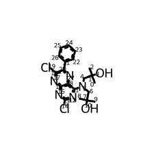 CC(C)(O)CN(CC(C)(C)O)c1nc(Cl)nc2nc(Cl)c(-c3ccccc3)nc12